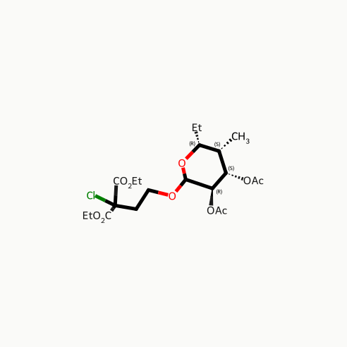 CCOC(=O)C(Cl)(CCOC1O[C@H](CC)[C@H](C)[C@H](OC(C)=O)[C@H]1OC(C)=O)C(=O)OCC